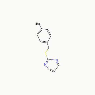 CCC(C)c1ccc(CSc2ncccn2)cc1